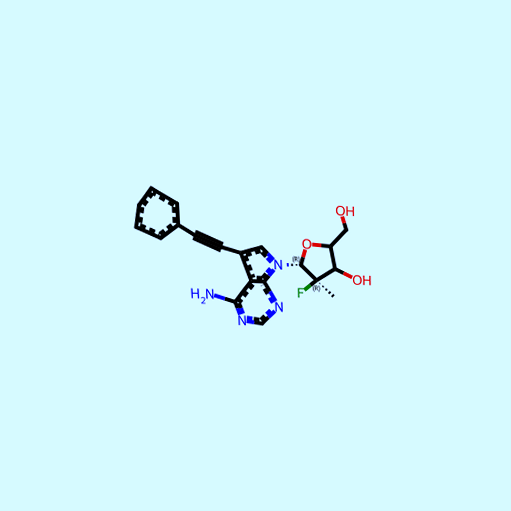 C[C@@]1(F)C(O)C(CO)O[C@H]1n1cc(C#Cc2ccccc2)c2c(N)ncnc21